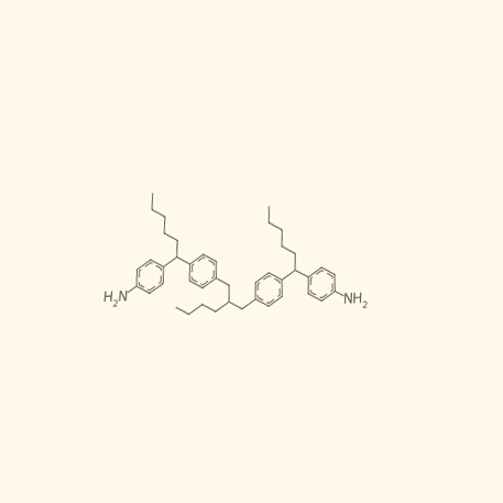 CCCCCC(c1ccc(N)cc1)c1ccc(CC(CCCC)Cc2ccc(C(CCCCC)c3ccc(N)cc3)cc2)cc1